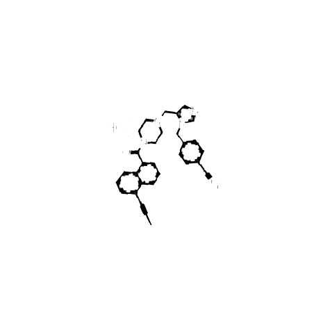 CC#Cc1cccc2c(C(=O)N3CCN(Cc4cncn4Cc4ccc(C#N)cc4)CC3)cccc12.Cl.Cl